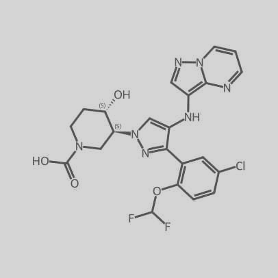 O=C(O)N1CC[C@H](O)[C@@H](n2cc(Nc3cnn4cccnc34)c(-c3cc(Cl)ccc3OC(F)F)n2)C1